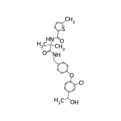 Cc1ccc(C(=O)NC(C)(C)C(=O)NCc2ccc(Oc3ccc(C(C)O)cc3Cl)cc2)s1